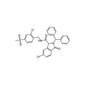 CS(=O)(=O)c1ccc(CNC(=O)C2c3cc(Cl)ccc3C(=O)N2C(c2ccccc2)c2ccccc2)c(Cl)c1